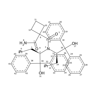 CC(C)C[C@@H](N(C(=O)C1(C(N)=O)CCC1)[C@H](CC(C)C)C(O)(c1ccccc1)c1ccccc1)C(O)(c1ccccc1)c1ccccc1